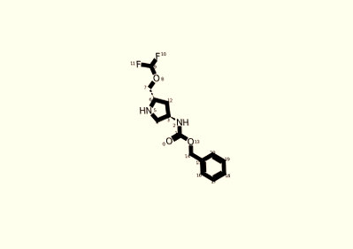 O=C(N[C@@H]1CN[C@H](COC(F)F)C1)OCc1ccccc1